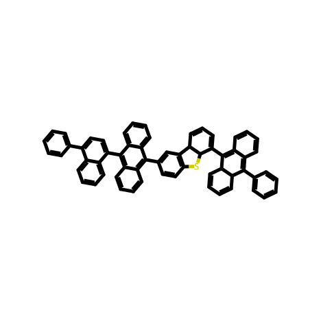 C1=CC2C(C3=CC=CC4c5cc(-c6c7ccccc7c(-c7ccc(-c8ccccc8)c8ccccc78)c7ccccc67)ccc5SC34)=c3ccccc3=C(c3ccccc3)C2C=C1